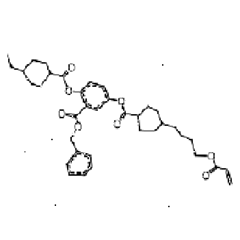 C=CC(=O)OCCCCC1CCC(C(=O)Oc2ccc(OC(=O)C3CCC(CC)CC3)c(C(=O)OCc3ccccc3)c2)CC1